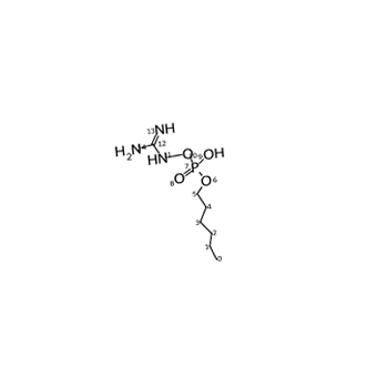 CCCCCCOP(=O)(O)ONC(=N)N